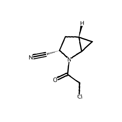 N#C[C@@H]1C[C@@H]2CC2N1C(=O)CCl